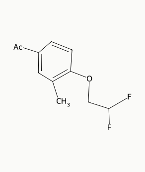 CC(=O)c1ccc(OCC(F)F)c(C)c1